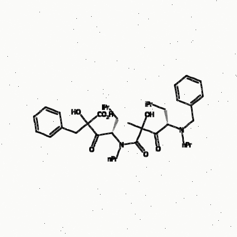 CCCN(Cc1ccccc1)[C@@H](CC(C)C)C(=O)C(C)(O)C(=O)N(CCC)[C@@H](CC(C)C)C(=O)C(O)(Cc1ccccc1)C(=O)O